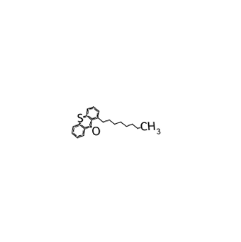 CCCCCCCCc1cccc2sc3ccccc3c(=O)c12